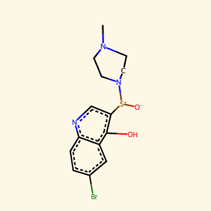 CN1CCN([S+]([O-])c2cnc3ccc(Br)cc3c2O)CC1